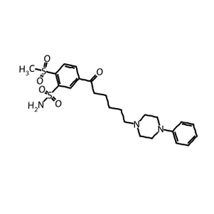 CS(=O)(=O)c1ccc(C(=O)CCCCCN2CCN(c3ccccc3)CC2)cc1S(N)(=O)=O